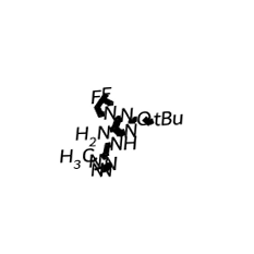 Cn1nnnc1CNc1nc(OCC(C)(C)C)nc(N2CCC(F)(F)C2)c1N